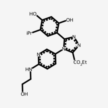 CCOC(=O)c1nnc(-c2cc(C(C)C)c(O)cc2O)n1-c1ccc(NCCO)nc1